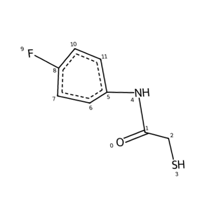 O=C(CS)Nc1ccc(F)cc1